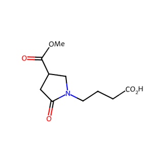 COC(=O)C1CC(=O)N(CCCC(=O)O)C1